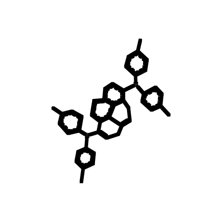 Cc1ccc(N(C2=CCC3=CCc4c(N(c5ccc(C)cc5)c5ccc(C)cc5)ccc5ccc2c3c45)c2ccc(C)cc2)cc1